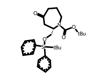 CC(C)(C)OC(=O)N1CCCC(=O)C[C@H]1CO[Si](c1ccccc1)(c1ccccc1)C(C)(C)C